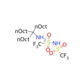 CCCCCCCCC(N)(CCCCCCCC)CCCCCCCC.O=S(=O)(NS(=O)(=O)C(F)(F)F)C(F)(F)F